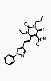 CCCn1c(=O)c([N+](=O)[O-])c(/C=C/c2cnn(-c3ccccc3)c2)n(CC)c1=O